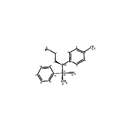 CC(C)CC[C@@H](c1ccc(C(F)(F)F)cc1)[C@](C)(N)c1ccccc1